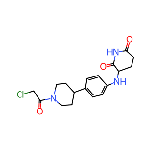 O=C1CCC(Nc2ccc(C3CCN(C(=O)CCl)CC3)cc2)C(=O)N1